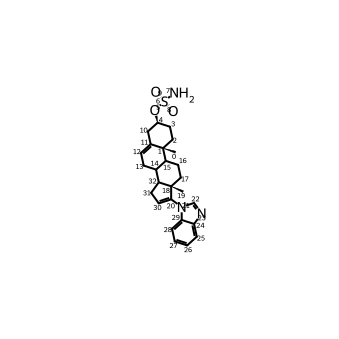 C[C@]12CC[C@H](OS(N)(=O)=O)CC1=CCC1C2CC[C@]2(C)C(n3cnc4ccccc43)=CCC12